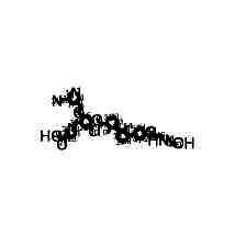 Cc1c(COc2cc(OCc3cncc(C#N)c3)c(CN3CC[C@@H](C(=O)O)C3)cc2Cl)cccc1-c1cccc(-c2ccc(OCCNCCO)cc2)c1C